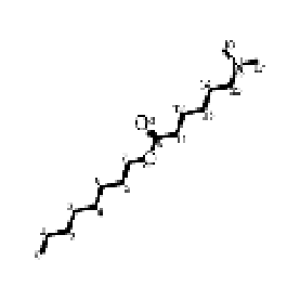 CCCCCCCCOC(=O)CCCCCN(C)C